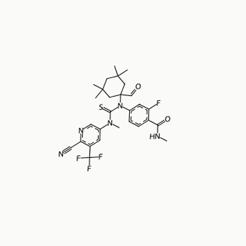 CNC(=O)c1ccc(N(C(=S)N(C)c2cnc(C#N)c(C(F)(F)F)c2)C2(C=O)CC(C)(C)CC(C)(C)C2)cc1F